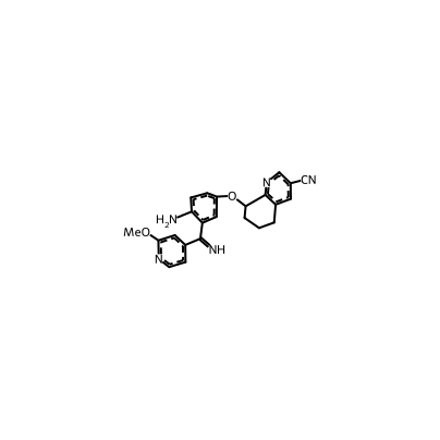 COc1cc(C(=N)c2cc(OC3CCCc4cc(C#N)cnc43)ccc2N)ccn1